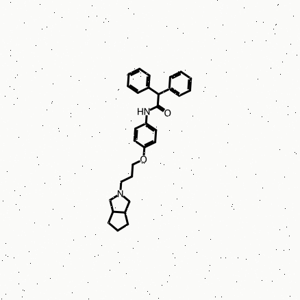 O=C(Nc1ccc(OCCCN2CC3CCCC3C2)cc1)C(c1ccccc1)c1ccccc1